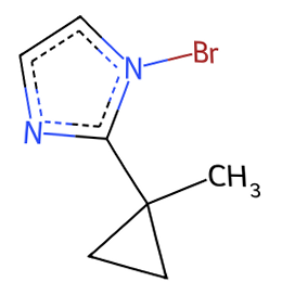 CC1(c2nccn2Br)CC1